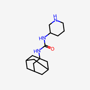 O=C(NC1CCCNC1)NC12CC3CC(CC(C3)C1)C2